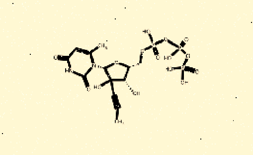 CC#CC1(O)[C@@H](O)[C@@H](COP(=O)(O)OP(=O)(O)OP(=O)(O)O)O[C@H]1n1c(C)cc(=O)[nH]c1=O